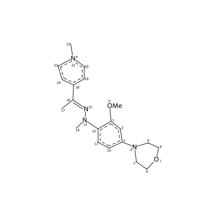 COc1cc(N2CCOCC2)ccc1N(C)/N=C(\C)c1cc[n+](C)cc1